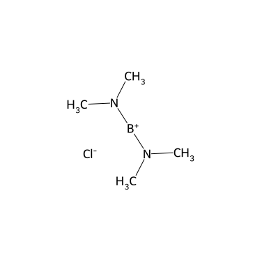 CN(C)[B+]N(C)C.[Cl-]